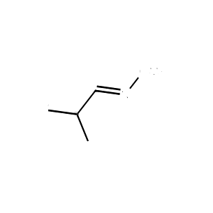 CO/N=C/[C](C)C